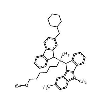 Cc1ccc2c(c1)c1c(n2C)-c2ccccc2C1[Si](C)(CCCCCCOC(C)(C)C)C1c2ccccc2-c2ccc(CC3CCCCC3)cc21